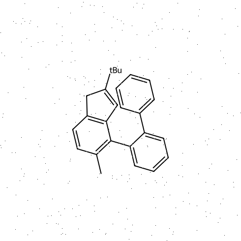 Cc1ccc2c(c1-c1ccccc1-c1ccccc1)C=C(C(C)(C)C)[CH]2